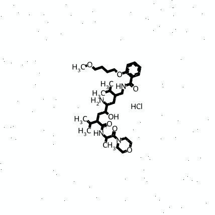 COCCCCOc1ccccc1C(=O)NCC(CC(N)C(O)CC(C(=O)NC(C)C(=O)N1CCOCC1)C(C)C)C(C)C.Cl